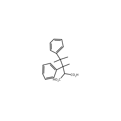 CC(C)(c1ccccc1)C(C)(c1ccccc1)C(C(=O)O)C(=O)O